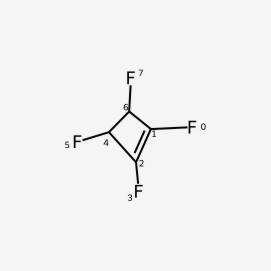 FC1=C(F)C(F)C1F